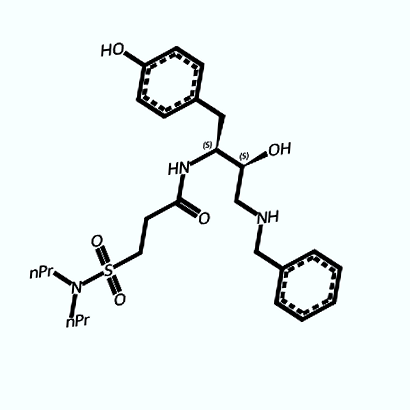 CCCN(CCC)S(=O)(=O)CCC(=O)N[C@@H](Cc1ccc(O)cc1)[C@@H](O)CNCc1ccccc1